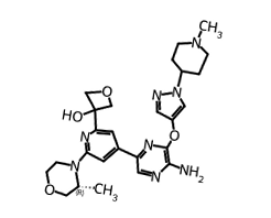 C[C@@H]1COCCN1c1cc(-c2cnc(N)c(Oc3cnn(C4CCN(C)CC4)c3)n2)cc(C2(O)COC2)n1